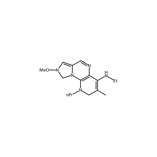 CCCN1CC(C)=C(NCC)C2=C1N1CN(OC)C=C1C=N2